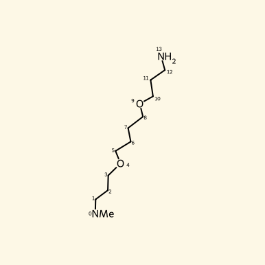 CNCCCOCCCCOCCCN